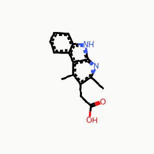 Cc1nc2[nH]c3ccccc3c2c(C)c1CC(=O)O